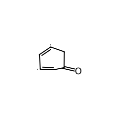 O=C1C=[C]C=[C]C1